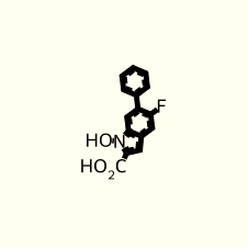 O=C(O)c1cc2cc(F)c(-c3ccccc3)cc2n1O